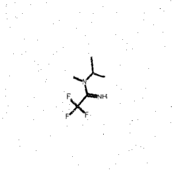 CC(C)N(C)C(=N)C(F)(F)F